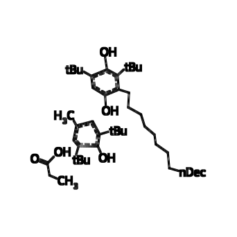 CCC(=O)O.CCCCCCCCCCCCCCCCCCc1c(O)cc(C(C)(C)C)c(O)c1C(C)(C)C.Cc1cc(C(C)(C)C)c(O)c(C(C)(C)C)c1